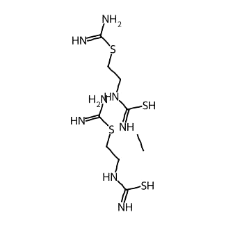 CC.N=C(S)NCCSC(=N)N.N=C(S)NCCSC(=N)N